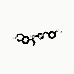 C/C=C(/Nc1cn(Cc2cccc(C(F)(F)F)c2)cn1)c1ccc2c(c1)CCPC2